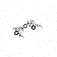 COc1cccc(F)c1O[C@@H](C)OC(=O)N1CCN(C(=O)O[C@H](C)Oc2c(F)cccc2OC)CC1